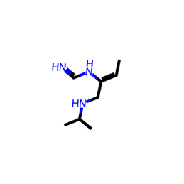 C/C=C(/CNC(C)C)NC=N